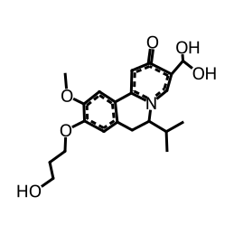 COc1cc2c(cc1OCCCO)CC(C(C)C)n1cc(C(O)O)c(=O)cc1-2